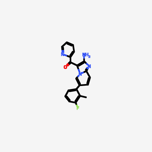 Cc1c(F)cccc1-c1ccc2nc(N)c(C(=O)c3ccccn3)n2c1